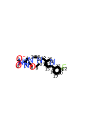 O=[N+]([O-])c1cn2c(n1)OCCN(Cc1ccc(-c3cccc(F)c3)nc1)CC2